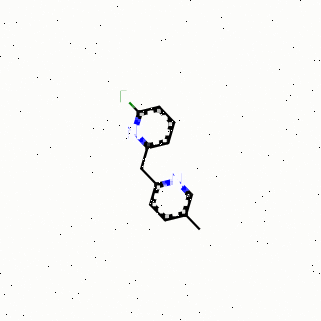 Cc1ccc(Cc2cccc(F)n2)nc1